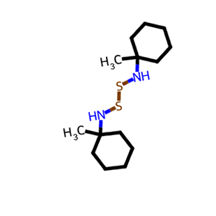 CC1(NSSNC2(C)CCCCC2)CCCCC1